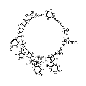 C[C@@]12CCCN1C(O)[C@H](Cc1ccc(O)cc1)NC(=O)[C@H](Cc1cnc[nH]1)NC(=O)[C@H](CC(=O)O)NC(=O)[C@H](Cc1c[nH]c3ccc(F)cc13)NC(=O)[C@H](Cc1c[nH]c3ccc(F)cc13)NC(=O)CNC(=O)[C@H](CCN)NC(=O)CCSCc1cccc(c1)CSC[C@@H](C(N)=O)NC2=O